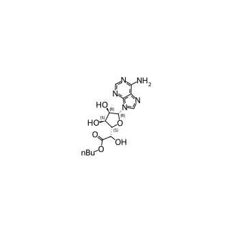 CCCCOC(=O)C(O)[C@H]1O[C@@H](n2cnc3c(N)ncnc32)[C@H](O)[C@@H]1O